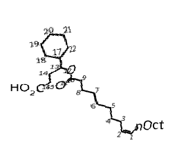 CCCCCCCC/C=C\CCCCCCCC(=O)OC(CCC(=O)O)C1CCCCC1